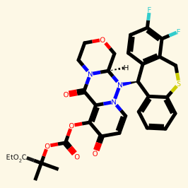 CCOC(=O)C(C)(C)OC(=O)Oc1c2n(ccc1=O)N([C@@H]1c3ccccc3SCc3c1ccc(F)c3F)[C@@H]1COCCN1C2=O